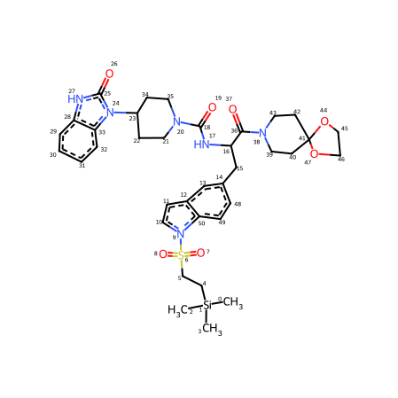 C[Si](C)(C)CCS(=O)(=O)n1ccc2cc(CC(NC(=O)N3CCC(n4c(=O)[nH]c5ccccc54)CC3)C(=O)N3CCC4(CC3)OCCO4)ccc21